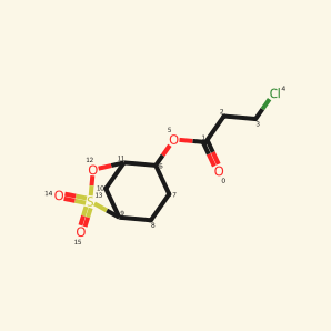 O=C(CCCl)OC1CCC2CC1OS2(=O)=O